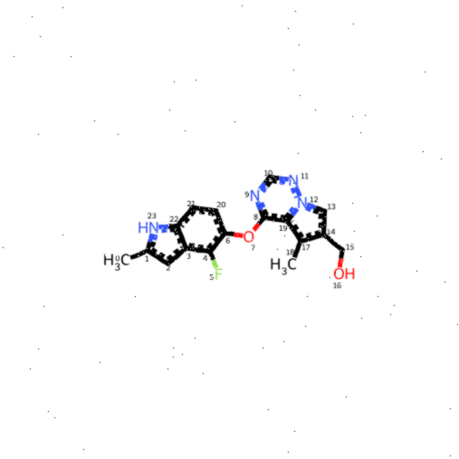 Cc1cc2c(F)c(Oc3ncnn4cc(CO)c(C)c34)ccc2[nH]1